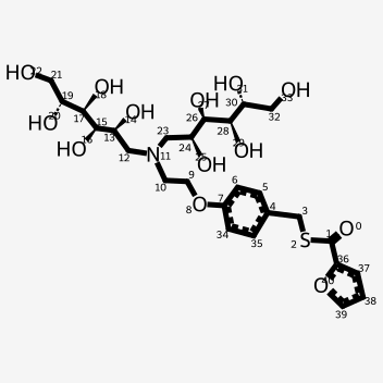 O=C(SCc1ccc(OCCN(C[C@H](O)[C@@H](O)[C@H](O)[C@H](O)CO)C[C@H](O)[C@@H](O)[C@H](O)[C@H](O)CO)cc1)c1ccco1